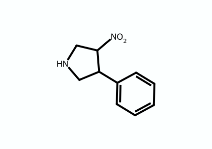 O=[N+]([O-])C1CNCC1c1ccccc1